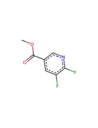 COC(=O)c1cnc(F)c(F)c1